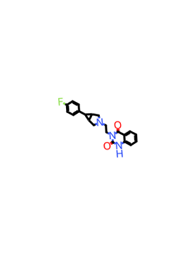 O=c1[nH]c2ccccc2c(=O)n1CCN1CC2C(C1)C2c1ccc(F)cc1